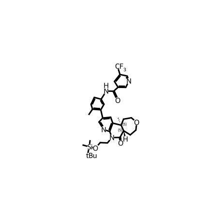 Cc1ccc(NC(=O)c2cncc(C(F)(F)F)c2)cc1-c1cnc2c(c1)[C@@]1(C)CCOCC[C@@H]1C(=O)N2CCO[Si](C)(C)C(C)(C)C